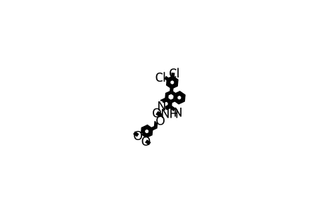 COc1ccc(CCOC(=O)Nc2ncc3c(c2C#N)-c2ccccc2C(c2ccc(Cl)c(Cl)c2)C3)cc1OC